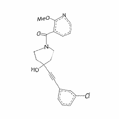 COc1ncccc1C(=O)N1CCC(O)(C#Cc2cccc(Cl)c2)CC1